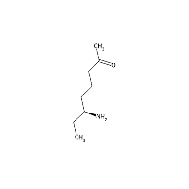 CC[C@H](N)CCCC(C)=O